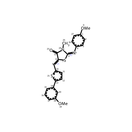 COc1ccc(/N=C2/S/C(=C\c3ccc(-c4cccc(OC)c4)s3)C(=O)N2C)cc1